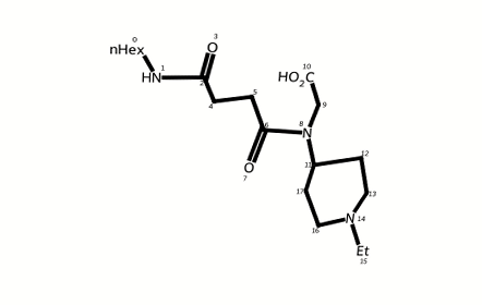 CCCCCCNC(=O)CCC(=O)N(CC(=O)O)C1CCN(CC)CC1